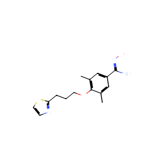 Cc1cc(C(N)=NO)cc(C)c1OCCCc1nccs1